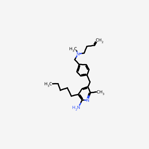 C=CCCN(C)Cc1ccc(Cc2cc(CCCCC)c(N)nc2C)cc1